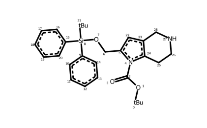 CC(C)(C)OC(=O)n1c(CO[Si](c2ccccc2)(c2ccccc2)C(C)(C)C)cc2c1CCNC2